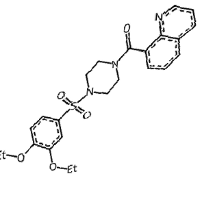 CCOc1ccc(S(=O)(=O)N2CCN(C(=O)c3cccc4cccnc34)CC2)cc1OCC